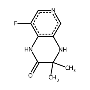 CC1(C)Nc2cncc(F)c2NC1=O